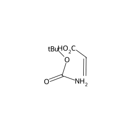 C=CC(=O)O.CC(C)(C)OC(N)=O